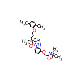 Cc1ccc(C)c(OCCCC(C)(C)C(=O)Nc2cccc(OCC3=NC(C)(C)CO3)c2)c1